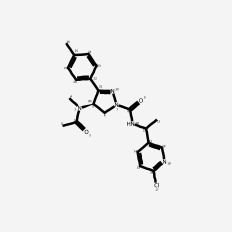 CC(=O)N(C)[C@@H]1CN(C(=O)NC(C)c2ccc(Cl)nc2)N=C1c1ccc(C)cc1